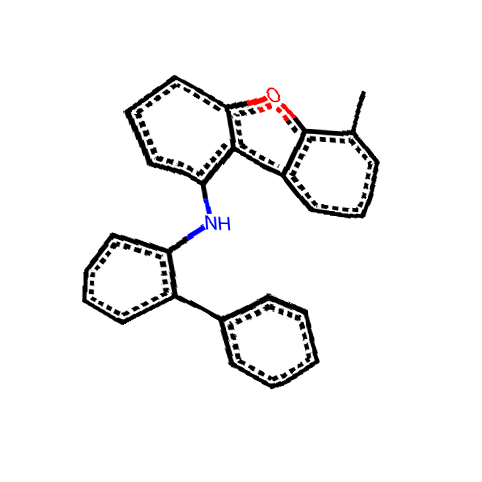 Cc1cccc2c1oc1cccc(Nc3ccccc3-c3ccccc3)c12